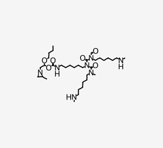 CCCCOC(CN1CC1C)OC(=O)NCCCCCCN(C(=O)N(C)CCCCCCNC)C(=O)N(C=O)CCCCCCNC